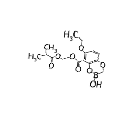 CCOc1ccc2c(c1C(=O)OCOC(=O)C(C)C)OB(O)CO2